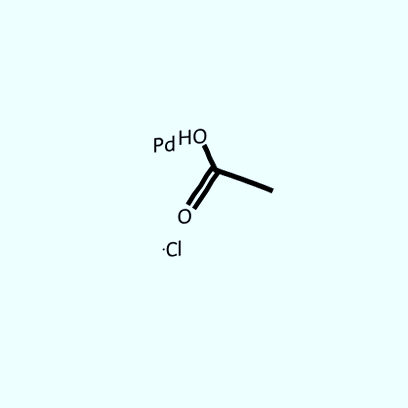 CC(=O)O.[Cl].[Pd]